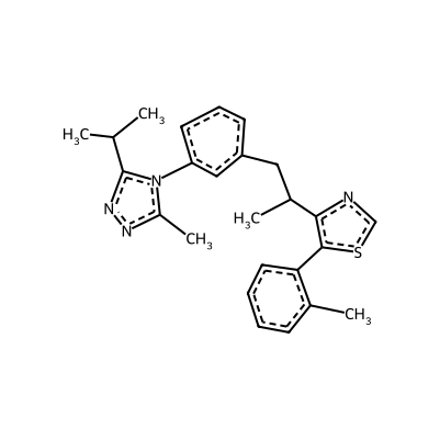 Cc1ccccc1-c1scnc1C(C)Cc1cccc(-n2c(C)nnc2C(C)C)c1